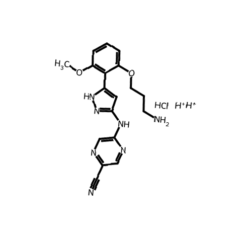 COc1cccc(OCCCN)c1-c1cc(Nc2cnc(C#N)cn2)n[nH]1.Cl.[H+].[H+]